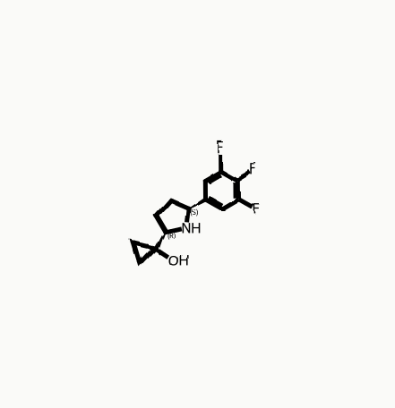 OC1([C@H]2CC[C@@H](c3cc(F)c(F)c(F)c3)N2)CC1